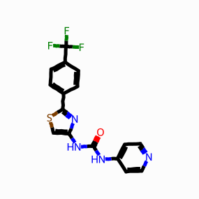 O=C(Nc1ccncc1)Nc1csc(-c2ccc(C(F)(F)F)cc2)n1